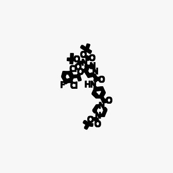 CC(Oc1cc(C(=O)Nc2ccc(C(=O)N3CCN(C(=O)OC(C)(C)C)CC3)cc2)nnc1N(C(=O)OC(C)(C)C)C(=O)OC(C)(C)C)c1c(Cl)ccc(F)c1Cl